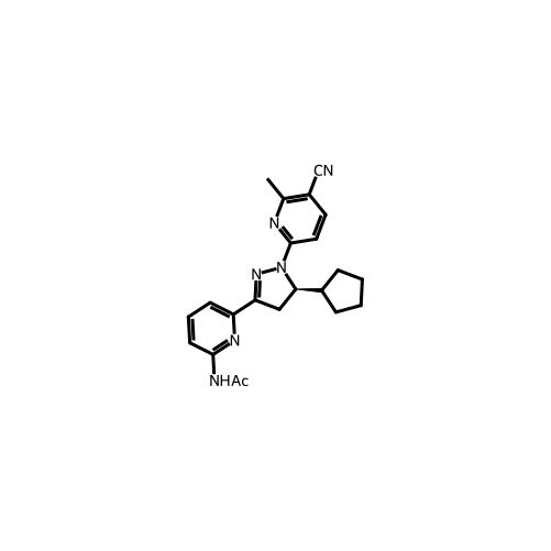 CC(=O)Nc1cccc(C2=NN(c3ccc(C#N)c(C)n3)[C@@H](C3CCCC3)C2)n1